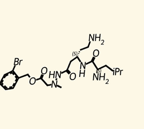 CC(C)C[C@H](N)C(=O)N[C@@H](CCN)CC(=O)NN(C)CC(=O)OCc1ccccc1Br